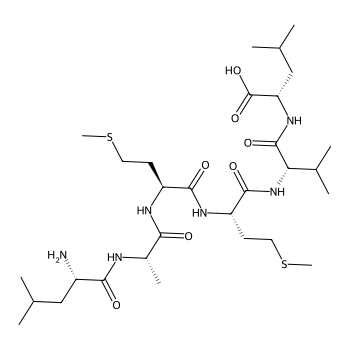 CSCC[C@H](NC(=O)[C@H](C)NC(=O)[C@@H](N)CC(C)C)C(=O)N[C@@H](CCSC)C(=O)N[C@H](C(=O)N[C@@H](CC(C)C)C(=O)O)C(C)C